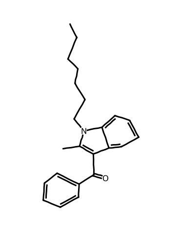 CCCCCCCn1c(C)c(C(=O)c2ccccc2)c2ccccc21